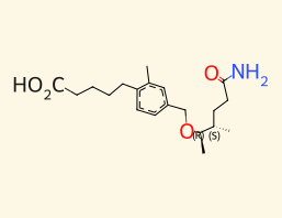 Cc1cc(CO[C@H](C)[C@@H](C)CCC(N)=O)ccc1CCCCC(=O)O